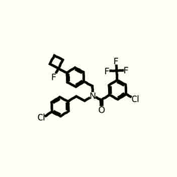 O=C(c1cc(Cl)cc(C(F)(F)F)c1)N(CCc1ccc(Cl)cc1)Cc1ccc(C2(F)CCC2)cc1